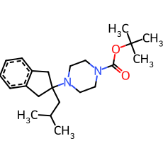 CC(C)CC1(N2CCN(C(=O)OC(C)(C)C)CC2)Cc2ccccc2C1